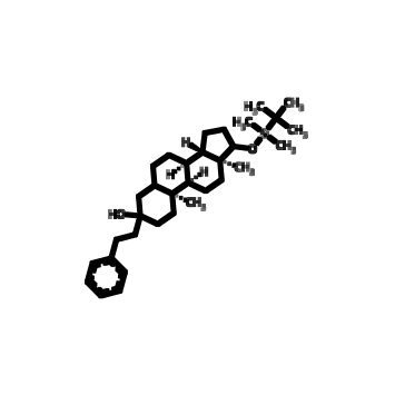 CC(C)(C)[Si](C)(C)OC1CC[C@H]2[C@@H]3CCC4CC(O)(CCc5ccccc5)CC[C@]4(C)[C@@H]3CC[C@]12C